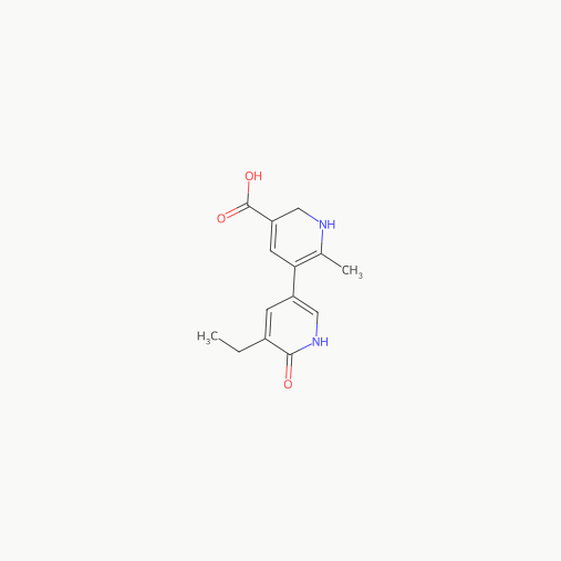 CCc1cc(C2=C(C)NCC(C(=O)O)=C2)c[nH]c1=O